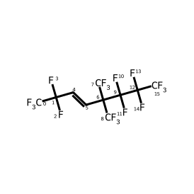 FC(F)(F)C(F)(F)/C=C/C(C(F)(F)F)(C(F)(F)F)C(F)(F)C(F)(F)C(F)(F)F